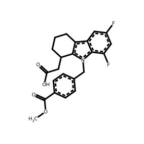 COC(=O)c1ccc(Cn2c3c(c4cc(F)cc(F)c42)CCCC3CC(=O)O)cc1